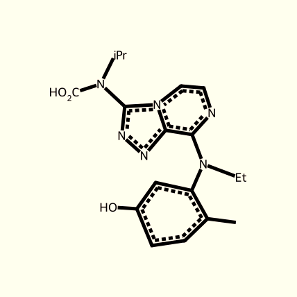 CCN(c1cc(O)ccc1C)c1nccn2c(N(C(=O)O)C(C)C)nnc12